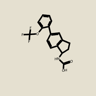 O=C(O)NC1CCc2cc(-c3ccccc3OC(F)(F)F)ccc21